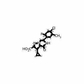 Cc1cc(-c2cn3nc(C(=O)O)c(C4CC4)c3c(=O)[nH]2)c(F)cc1Cl